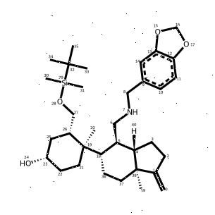 C=C1CC[C@H]2[C@H](CNCc3ccc4c(c3)OCO4)[C@@H]([C@@]3(C)CC[C@H](O)C[C@@H]3CO[Si](C)(C)C(C)(C)C)CC[C@]12C